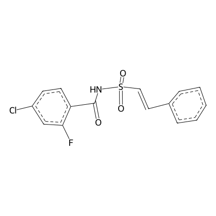 O=C(NS(=O)(=O)/C=C/c1ccccc1)c1ccc(Cl)cc1F